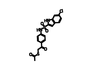 CC(=O)SCC(=O)c1ccc(NS(=O)(=O)c2cc3ccc(Cl)cc3[nH]2)cc1